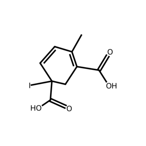 CC1=C(C(=O)O)CC(I)(C(=O)O)C=C1